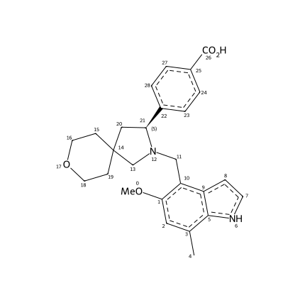 COc1cc(C)c2[nH]ccc2c1CN1CC2(CCOCC2)C[C@H]1c1ccc(C(=O)O)cc1